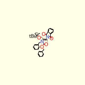 C[C@H]([C@@H](CO[Si](C)(C)C(C)(C)C)N(Cc1ccccc1)C(=O)OCc1ccccc1)N1C(=O)c2ccccc2C1=O